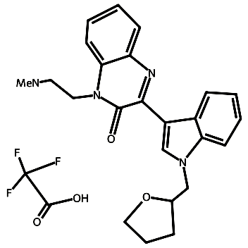 CNCCn1c(=O)c(-c2cn(CC3CCCO3)c3ccccc23)nc2ccccc21.O=C(O)C(F)(F)F